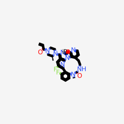 C=CC(=O)N1CCN(c2nc(=O)n3c4nc(c(F)cc24)-c2c(F)cccc2N(C)C(=O)NCCc2ccnc(C(C)C)c2-3)[C@@H](C)C1